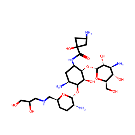 NC1CC(O)(C(=O)N[C@@H]2C[C@H](N)C(O[C@H]3O[C@H](CNCC(O)CO)CC[C@H]3N)[C@H](O)[C@H]2O[C@H]2O[C@H](CO)[C@@H](O)[C@H](N)[C@H]2O)C1